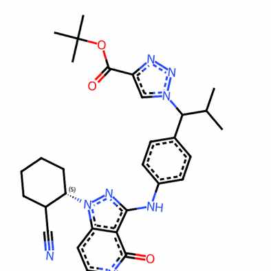 CC(C)C(c1ccc(Nc2nn([C@H]3CCCCC3C#N)c3cc[nH]c(=O)c23)cc1)n1cc(C(=O)OC(C)(C)C)nn1